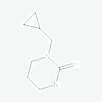 O=C1[N]CCCN1CC1CC1